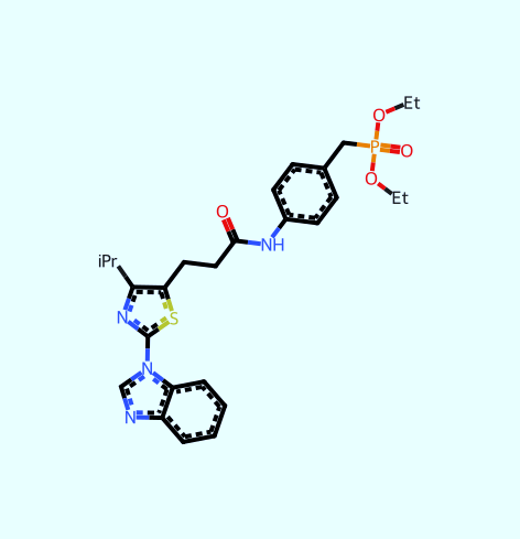 CCOP(=O)(Cc1ccc(NC(=O)CCc2sc(-n3cnc4ccccc43)nc2C(C)C)cc1)OCC